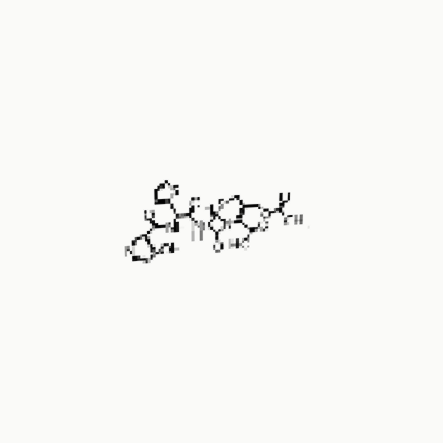 CC(=O)OCC1=C(C(=O)O)N2C(=O)[C@@H](NC(=O)C(NC(=O)c3cnccc3O)c3cccs3)[C@H]2SC1